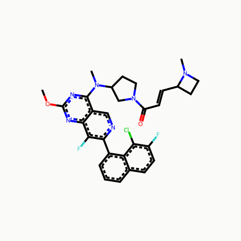 COc1nc(N(C)C2CCN(C(=O)/C=C/C3CCN3C)C2)c2cnc(-c3cccc4ccc(F)c(Cl)c34)c(F)c2n1